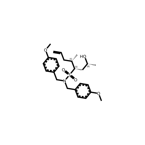 C=CC[C@H](C)[C@H](C[C@@H](C)O)S(=O)(=O)N(Cc1ccc(OC)cc1)Cc1ccc(OC)cc1